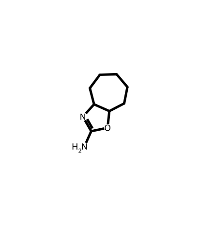 NC1=NC2CCCCCC2O1